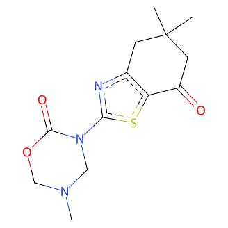 CN1COC(=O)N(c2nc3c(s2)C(=O)CC(C)(C)C3)C1